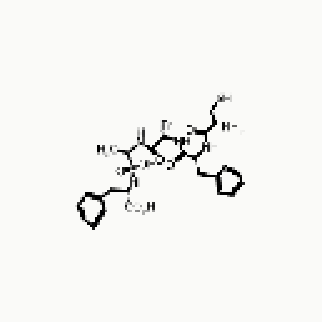 CC(C)[C@H](NC(=O)[C@H](Cc1ccccc1)NC(=O)[C@@H](N)CS)C(=O)NC(C)P(=O)(O)N[C@@H](Cc1ccccc1)C(=O)O